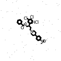 CN(CC(CCN1CCC(c2ccc([S+](C)[O-])cc2)CC1)c1ccc(Cl)c(Cl)c1)C(=O)c1ccccc1.Cl